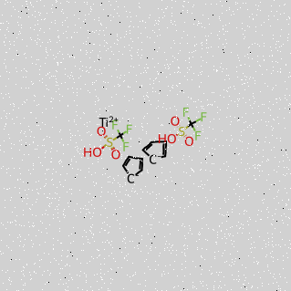 O=S(=O)(O)C(F)(F)F.O=S(=O)(O)C(F)(F)F.[Ti+2].c1cc[cH-]c1.c1cc[cH-]c1